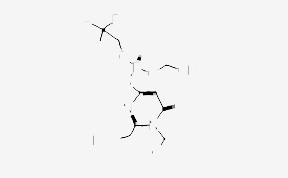 CCOP(=S)(OCC(F)(F)F)Oc1cc(=O)n(CC)c(CC)n1